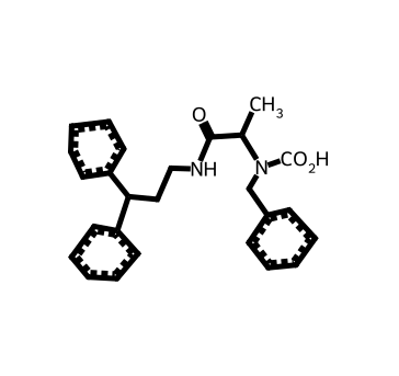 CC(C(=O)NCCC(c1ccccc1)c1ccccc1)N(Cc1ccccc1)C(=O)O